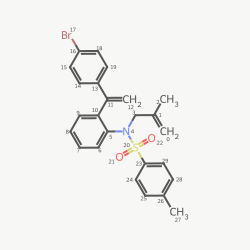 C=C(C)CN(c1ccccc1C(=C)c1ccc(Br)cc1)S(=O)(=O)c1ccc(C)cc1